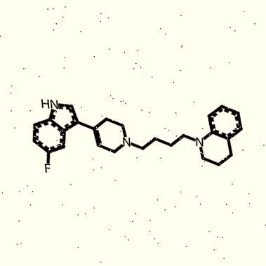 Fc1ccc2[nH]cc(C3=CCN(CCCCN4CCCc5ccccc54)CC3)c2c1